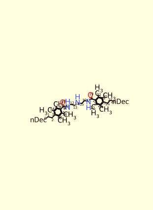 CCCCCCCCCCCCc1c(C)c(C)c(C(=O)NCCNCCNC(=O)c2c(C)c(C)c(CCCCCCCCCCCC)c(C)c2C)c(C)c1C